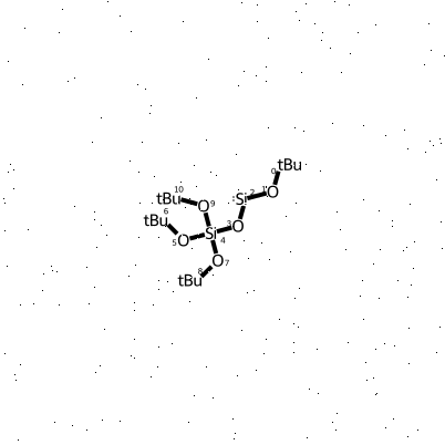 CC(C)(C)O[Si]O[Si](OC(C)(C)C)(OC(C)(C)C)OC(C)(C)C